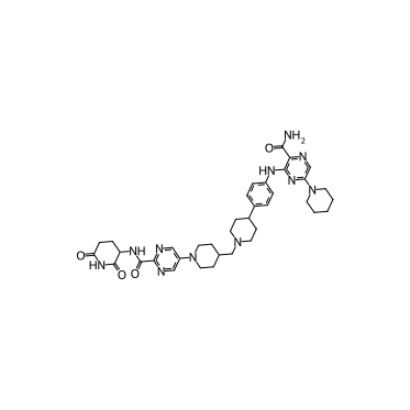 NC(=O)c1ncc(N2CCCCC2)nc1Nc1ccc(C2CCN(CC3CCN(c4cnc(C(=O)NC5CCC(=O)NC5=O)nc4)CC3)CC2)cc1